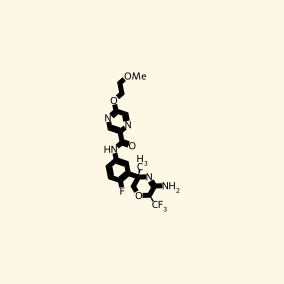 COCCOc1cnc(C(=O)Nc2ccc(F)c([C@]3(C)CO[C@@H](C(F)(F)F)C(N)=N3)c2)cn1